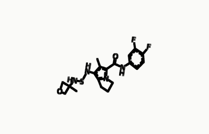 Cc1c(NSNC2(C)COC2)c2n(c1C(=O)Nc1ccc(F)c(F)c1)CCC2